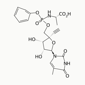 C#C[C@]1(COP(=O)(N[C@@H](C)C(=O)O)Oc2ccccc2)O[C@@H](n2cc(C)c(=O)[nH]c2=O)[C@H](O)[C@@H]1O